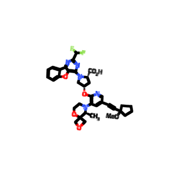 COC1(C#Cc2cnc(O[C@H]3C[C@@H](C(=O)O)N(c4nc(C(F)F)nc5c4oc4ccccc45)C3)c(N3CCOC4(COC4)[C@@H]3C)c2)CCCC1